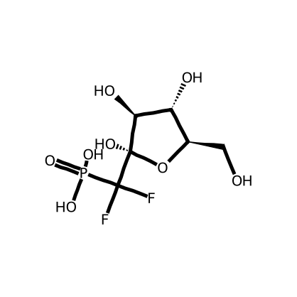 O=P(O)(O)C(F)(F)[C@]1(O)O[C@H](CO)[C@@H](O)[C@@H]1O